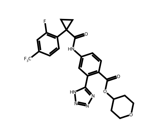 O=C(OC1CCOCC1)c1ccc(NC(=O)C2(c3ccc(C(F)(F)F)cc3F)CC2)cc1-c1nnn[nH]1